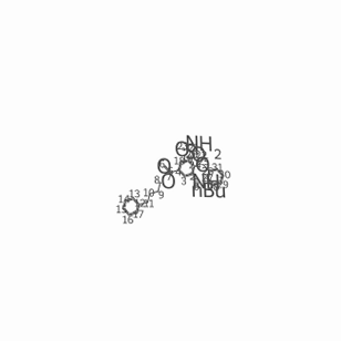 CCCCNc1cc(C(=O)OCCCCc2ccccc2)cc(S(N)(=O)=O)c1Oc1ccccc1